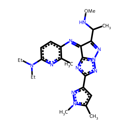 CCN(CC)c1ccc(/N=C2/C(C(C)NOC)=Nn3nc(-c4cc(C)n(C)n4)nc32)c(C)n1